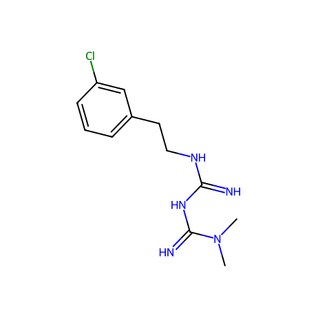 CN(C)C(=N)NC(=N)NCCc1cccc(Cl)c1